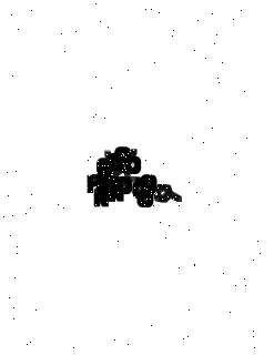 CC(=O)O[C@H]1[C@H](OC(C)=O)[C@@H](COS(=O)(=O)c2ccc(C)cc2)O[C@](O)(N=[N+]=[N-])[C@@H]1OC(C)=O